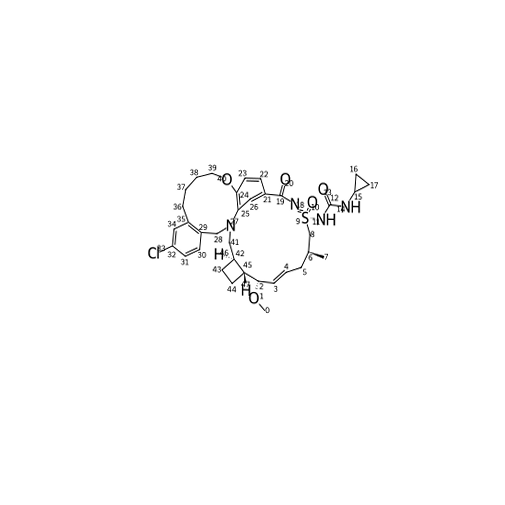 CO[C@H]1/C=C/C[C@H](C)C[S@@](=O)(NC(=O)NC2CC2)=NC(=O)c2ccc3c(c2)N(Cc2ccc(Cl)cc2CCCCO3)C[C@@H]2CC[C@H]21